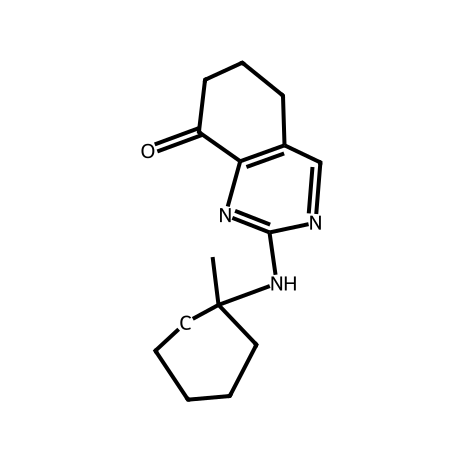 CC1(Nc2ncc3c(n2)C(=O)CCC3)CCCCC1